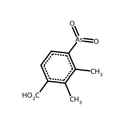 Cc1c(C(=O)O)ccc([As](=O)=O)c1C